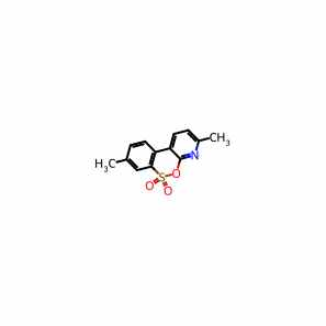 Cc1ccc2c(c1)S(=O)(=O)Oc1nc(C)ccc1-2